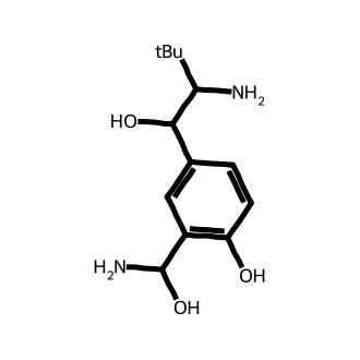 CC(C)(C)C(N)C(O)c1ccc(O)c(C(N)O)c1